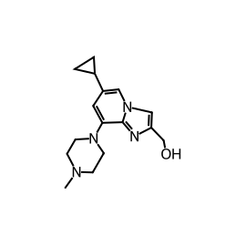 CN1CCN(c2cc(C3CC3)cn3cc(CO)nc23)CC1